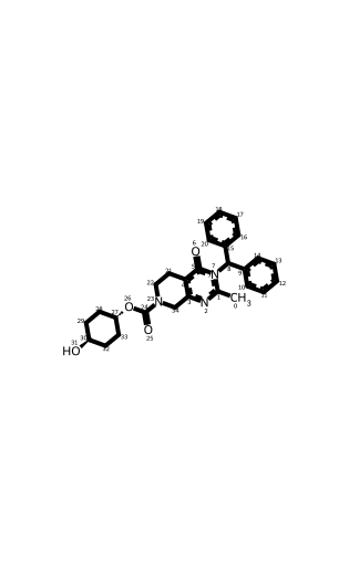 Cc1nc2c(c(=O)n1C(c1ccccc1)c1ccccc1)CCN(C(=O)O[C@H]1CC[C@H](O)CC1)C2